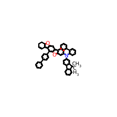 CC1(C)c2ccccc2-c2ccc(N(c3ccc4c(c3)oc3c(-c5ccc(-c6ccccc6)cc5)c5c6c(oc5cc34)CCC=C6)c3ccccc3-c3ccccc3)cc21